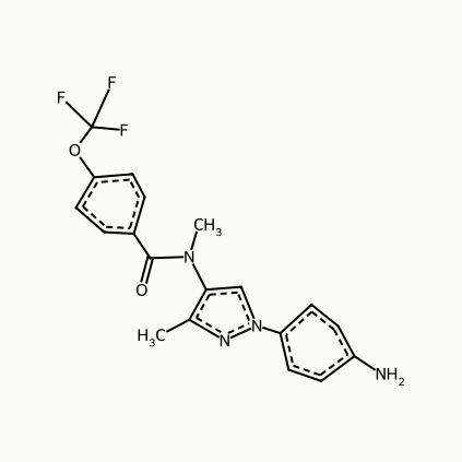 Cc1nn(-c2ccc(N)cc2)cc1N(C)C(=O)c1ccc(OC(F)(F)F)cc1